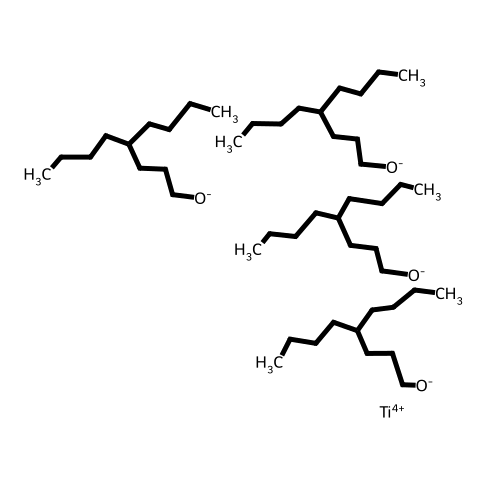 CCCCC(CCCC)CCC[O-].CCCCC(CCCC)CCC[O-].CCCCC(CCCC)CCC[O-].CCCCC(CCCC)CCC[O-].[Ti+4]